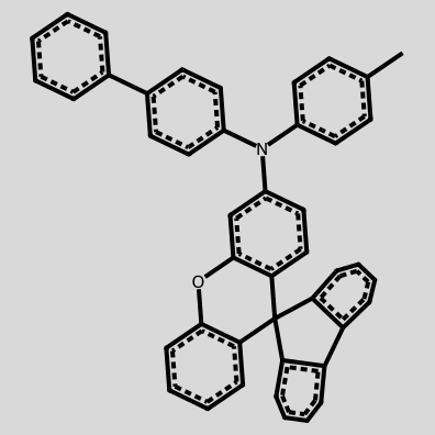 Cc1ccc(N(c2ccc(-c3ccccc3)cc2)c2ccc3c(c2)Oc2ccccc2C32c3ccccc3-c3ccccc32)cc1